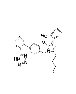 CCCCCc1cn(-c2ccccc2O)c(=O)n1Cc1ccc(-c2ccccc2-c2nnn[nH]2)cc1